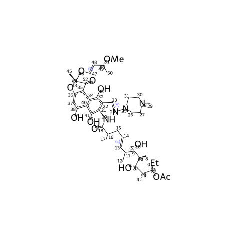 CC[C@@H](OC(C)=O)[C@H](C)[C@H](O)[C@H](C)[C@@H](O)C(C)/C=C/CC(C)C(=O)Nc1c(/C=N/N2CCN(C)CC2)c(O)c2c3c(cc(O)c2c1O)O[C@](C)(O/C=C/[C@@H](C)OC)C3=O